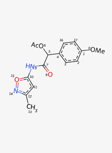 COc1ccc(C(OC(C)=O)C(=O)Nc2cc(C)no2)cc1